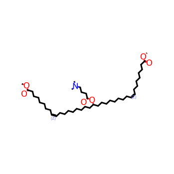 COC(=O)CCCCCCC/C=C\CCCCCCCCC(CCCCCCCC/C=C\CCCCCCCC(=O)OC)OC(=O)CCCN(C)C